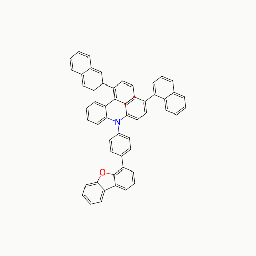 C1=CC(C2C=c3ccccc3=CC2)=C(c2ccccc2N(c2ccc(-c3cccc4ccccc34)cc2)c2ccc(-c3cccc4c3oc3ccccc34)cc2)CC1